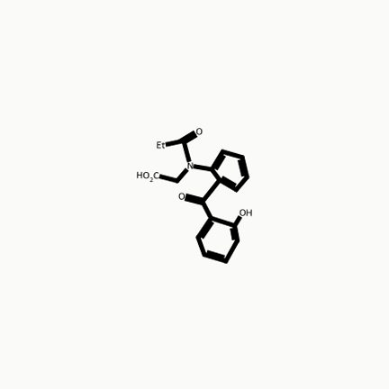 CCC(=O)N(CC(=O)O)c1ccccc1C(=O)c1ccccc1O